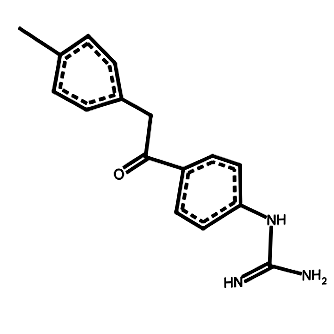 Cc1ccc(CC(=O)c2ccc(NC(=N)N)cc2)cc1